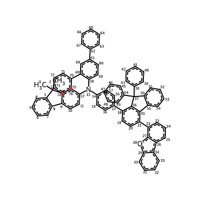 CC1(C)c2ccccc2-c2ccc(N(c3ccc(-c4ccc(-c5cccc6c5oc5ccccc56)c5c4C(c4ccccc4)(c4ccccc4)c4ccccc4-5)cc3)c3ccc(-c4ccccc4)cc3-c3ccccc3)cc21